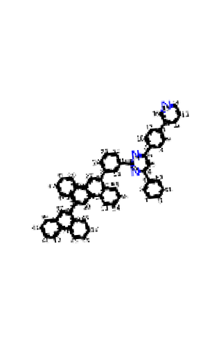 c1ccc(-c2cc(-c3ccc(-c4cccnc4)cc3)nc(-c3cccc(-c4cc5c6ccccc6c(-c6cc7ccccc7c7ccccc67)cc5c5ccccc45)c3)n2)cc1